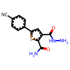 N#Cc1ccc(-c2cc(C(=O)NN)c(C(N)=O)s2)cc1